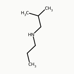 CCCNCC(C)C